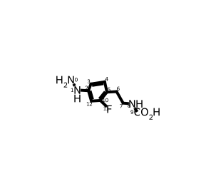 NNc1ccc(CCNC(=O)O)c(F)c1